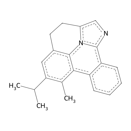 Cc1c(C(C)C)cc2c3c1c1ccccc1c1ncc(n13)CC2